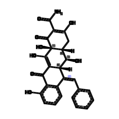 NC(=O)C1=C(O)C[C@@H]2[C@@H](O)[C@H]3C(=C(O)[C@]2(O)C1=O)C(=O)c1c(O)cccc1/C3=C\c1ccccc1